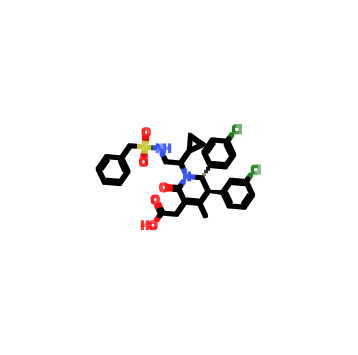 CC1=C(CC(=O)O)C(=O)N(C(CNS(=O)(=O)Cc2ccccc2)C2CC2)[C@H](c2ccc(Cl)cc2)[C@H]1c1cccc(Cl)c1